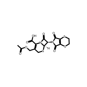 CC(=O)OCC1=C(C(=O)O)N2C(=O)[C@@H](N3C(=O)C4=C(SCCS4)C3=O)[C@H]2SC1